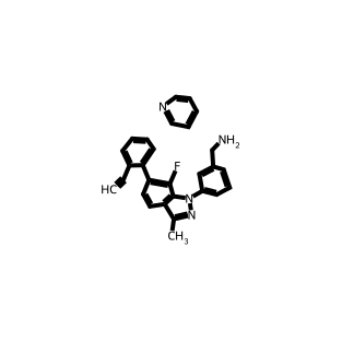 C#Cc1ccccc1-c1ccc2c(C)nn(-c3cccc(CN)c3)c2c1F.c1ccncc1